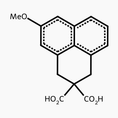 COc1cc2c3c(cccc3c1)CC(C(=O)O)(C(=O)O)C2